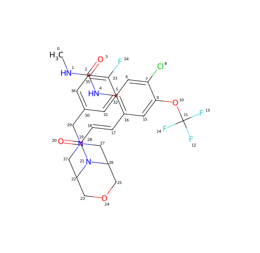 CNC(=O)Nc1cc(Cl)c(OC(F)(F)F)cc1/C=C/C(=O)N1C2COCC1CN(Cc1ccc(F)cc1)C2